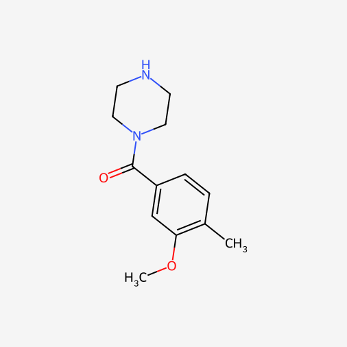 COc1cc(C(=O)N2CCNCC2)ccc1C